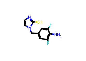 Nc1c(F)cc(Cn2ccnc2S)cc1F